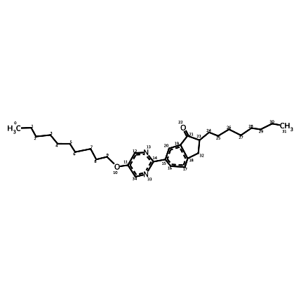 CCCCCCCCCCOc1cnc(-c2ccc3c(c2)C(=O)C(CCCCCCCC)C3)nc1